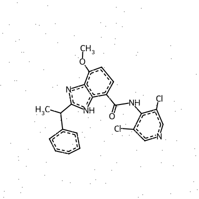 COc1ccc(C(=O)Nc2c(Cl)cncc2Cl)c2[nH]c(C(C)c3ccccc3)nc12